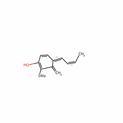 C=c1c(SC)c(O)cc/c1=C/C=C\C